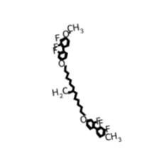 C=CC(CCCCCCCOc1ccc(-c2ccc(C)c(F)c2F)c(F)c1)CCCCCCCOc1ccc(-c2ccc(OCC)c(F)c2F)c(F)c1